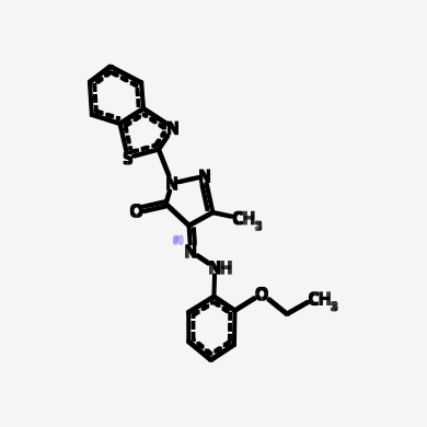 CCOc1ccccc1N/N=C1/C(=O)N(c2nc3ccccc3s2)N=C1C